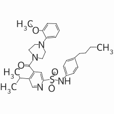 CCCCc1ccc(NS(=O)(=O)c2cc(C(=O)N3CCN(c4ccccc4OC)CC3)c(C(C)C)cn2)cc1